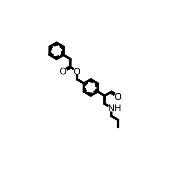 CCCNCC(C=O)c1ccc(COC(=O)Cc2ccccc2)cc1